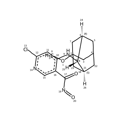 COC12CC3C[C@H](C1)[C@@H](Nc1cc(Cl)ncc1C(=O)N=O)[C@@H](C3)C2